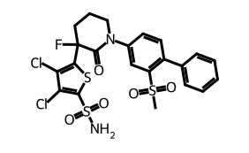 CS(=O)(=O)c1cc(N2CCCC(F)(c3sc(S(N)(=O)=O)c(Cl)c3Cl)C2=O)ccc1-c1ccccc1